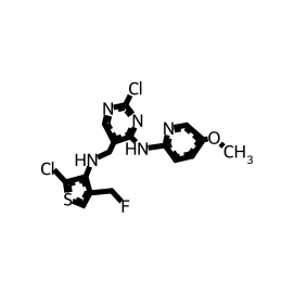 COc1ccc(Nc2nc(Cl)ncc2CNc2c(CF)csc2Cl)nc1